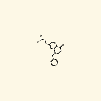 CCN(CC)CCc1ccc2c(=O)ccn(Cc3ccccc3)c2c1